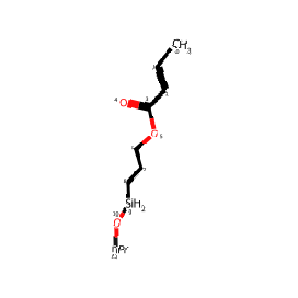 CC=CC(=O)OCCC[SiH2]OCCC